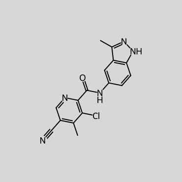 Cc1c(C#N)cnc(C(=O)Nc2ccc3[nH]nc(C)c3c2)c1Cl